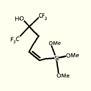 CO[Si](/C=C\CC(O)(C(F)(F)F)C(F)(F)F)(OC)OC